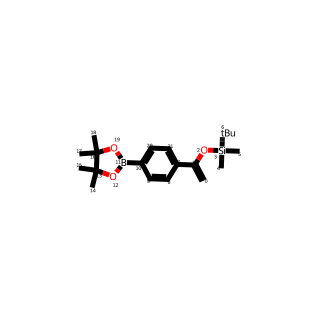 C=C(O[Si](C)(C)C(C)(C)C)c1ccc(B2OC(C)(C)C(C)(C)O2)cc1